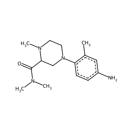 Cc1cc(N)ccc1N1CCN(C)C(C(=O)N(C)C)C1